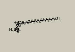 CCCCCCCCCCCCCCCCCCOCCOCCOP(=O)(O)OCC[N+]1(C)CCCC1